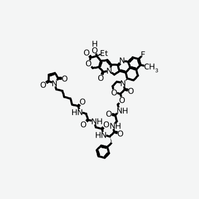 CC[C@]1(O)C(=O)OCc2c1cc1n(c2=O)Cc2c-1nc1cc(F)c(C)c3c1c2[C@@H](N1CCOC(OCNC(=O)CNC(=O)[C@H](Cc2ccccc2)NC(=O)CNC(=O)CNC(=O)CCCCCN2C(=O)C=CC2=O)C1=O)CC3